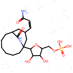 NC(=O)/C=C\C1CC2CCCCCCC(C3OC(COP(=O)(O)O)C(O)C3O)(C1)NC2=O